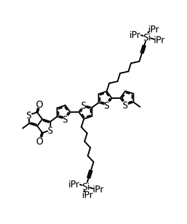 CC1=C2C(=O)SC(c3ccc(-c4sc(-c5cc(CCCCCCC#C[Si](C(C)C)(C(C)C)C(C)C)c(-c6ccc(C)s6)s5)cc4CCCCCCC#C[Si](C(C)C)(C(C)C)C(C)C)s3)=C2C(=O)S1